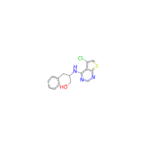 OCC(Cc1ccccc1)Nc1ncnc2scc(Cl)c12